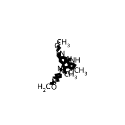 C=CC(=O)N1CC2(CC(n3nc(-c4ccc5nn(CCOC)cc5c4)c(-c4c(Cl)c(C)cc5[nH]ncc45)c3C)C2)C1